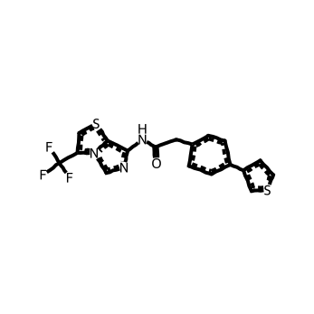 O=C(Cc1ccc(-c2ccsc2)cc1)Nc1ncn2c(C(F)(F)F)csc12